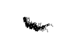 COC[C@@H]1C[C@@H](c2nc3ccc4cc5c(cc4c3[nH]2)OCc2cc(-c3cnc([C@@H]4CCCN4)[nH]3)ccc2-5)N(C)C1